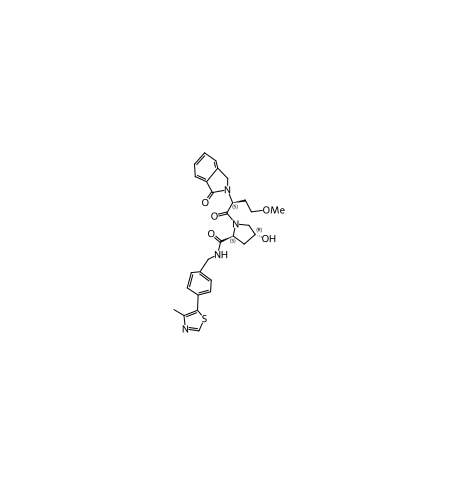 COCC[C@@H](C(=O)N1C[C@H](O)C[C@H]1C(=O)NCc1ccc(-c2scnc2C)cc1)N1Cc2ccccc2C1=O